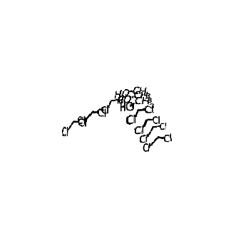 CO.CO.CO.ClCCl.ClCCl.ClCCl.ClCCl.ClCCl.ClCCl.ClCCl